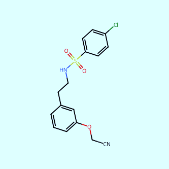 N#CCOc1cccc(CCNS(=O)(=O)c2ccc(Cl)cc2)c1